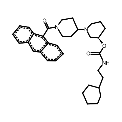 O=C(NCCC1CCCCC1)O[C@@H]1CCCN(C2CCN(C(=O)c3c4ccccc4cc4ccccc34)CC2)C1